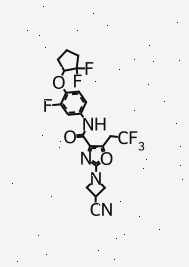 N#CC1CN(c2nc(C(=O)Nc3ccc(OC4CCCC4(F)F)c(F)c3)c(CC(F)(F)F)o2)C1